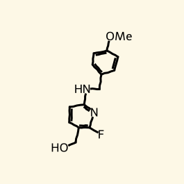 COc1ccc(CNc2ccc(CO)c(F)n2)cc1